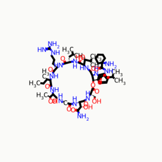 CC[C@H](C)C1NC(=O)[C@@H](CCCNC(=N)N)NC(=O)[C@H](CC(C)C)NC(=O)[C@H]([C@H](O)C(C)C)NC(=O)[C@@H](NC(=O)[C@H](CC(C)C)NC(=O)C2(N)CCCCC2)[C@@H](c2ccccc2)OC(=O)[C@H](CO)NC(=O)[C@H]([C@H](O)C(N)=O)NC(=O)CNC(=O)C([C@H](C)O)NC1=O